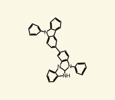 c1ccc(N2c3ccc(-c4ccc5c(c4)c4ccccc4n5-c4ccccc4)cc3N3c4ccccc4NC23)cc1